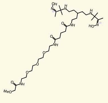 COCC(=O)NCCOCCOCCOCCNC(=O)CCCC(=O)NCCC(CCNC(C)(C)/C(C)=N\O)CCNC(C)(C)/C(C)=N\O